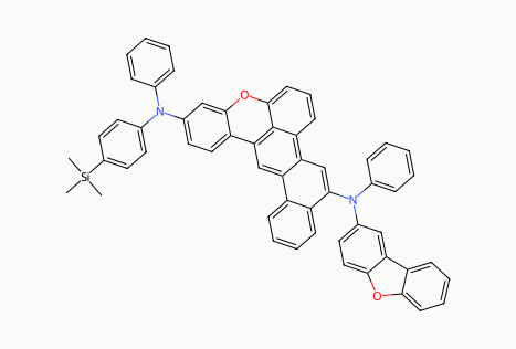 C[Si](C)(C)c1ccc(N(c2ccccc2)c2ccc3c(c2)Oc2cccc4c2c-3cc2c3ccccc3c(N(c3ccccc3)c3ccc5oc6ccccc6c5c3)cc42)cc1